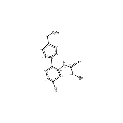 COCc1ccc(-c2cnc(Cl)cc2NC(=O)OC(C)(C)C)nc1